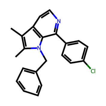 Cc1c(C)n(Cc2ccccc2)c2c(-c3ccc(Cl)cc3)nccc12